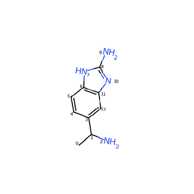 CC(N)c1ccc2[nH]c(N)nc2c1